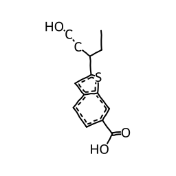 CCC(CCO)c1cc2ccc(C(=O)O)cc2s1